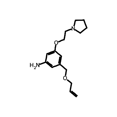 C=CCOCc1cc(N)cc(OCCN2CCCC2)c1